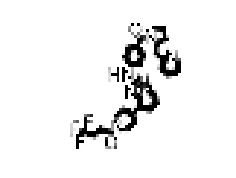 O=C(CCC(F)(F)F)N1CC=C(c2cccn3nc(Nc4ccc(C(=O)N5CCCC5Cc5ccccn5)cc4)nc23)CC1